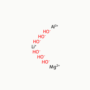 [Al+3].[Li+].[Mg+2].[OH-].[OH-].[OH-].[OH-].[OH-].[OH-]